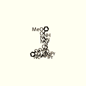 COc1ccccc1C(=O)Nc1ncnc2c1ncn2[C@H]1C[C@H](OP(=O)(OCCC#N)N(C(C)C)C(C)C)[C@@H](COC(=O)Oc2ccccc2SC)O1